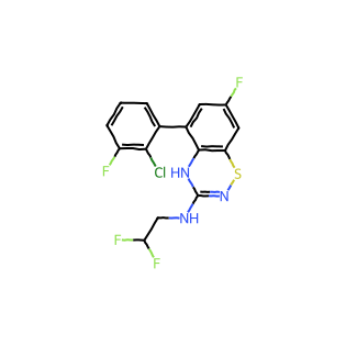 Fc1cc2c(c(-c3cccc(F)c3Cl)c1)NC(NCC(F)F)=NS2